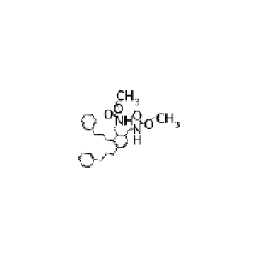 CCOC(=O)NCc1ccc(CCCc2ccccc2)c(CCCc2ccccc2)c1CNC(=O)OCC